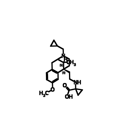 COc1ccc2c(c1)[C@@]1(CCNC3(C(=O)O)CC3)CCN(CC3CC3)C(C2)[C@H]1C